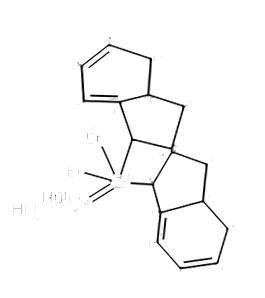 C[CH2][Zr](=[SiH2])([CH2]C)([CH]1CCC2CC=CC=C21)[CH]1CCC2CC=CC=C21.Cl.Cl